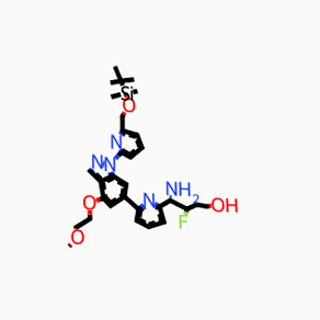 COCCOc1cc(-c2cccc([C@H](N)C(F)CCO)n2)cc2c1cnn2-c1cccc(CO[Si](C)(C)C(C)(C)C)n1